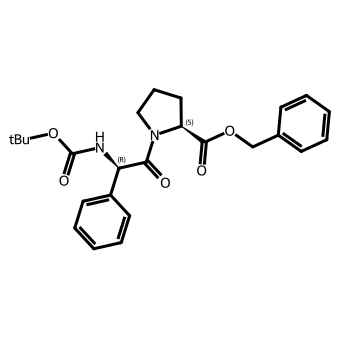 CC(C)(C)OC(=O)N[C@@H](C(=O)N1CCC[C@H]1C(=O)OCc1ccccc1)c1ccccc1